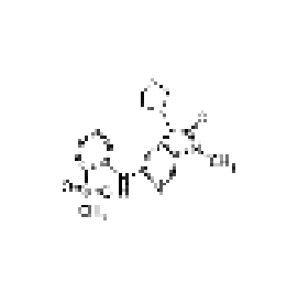 Cn1c(=O)n(C2CCCC2)c2cc(Nc3ccccc3S(C)(=O)=O)ncc21